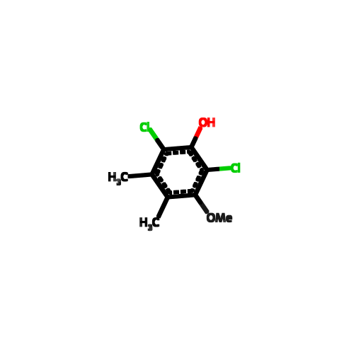 COc1c(C)c(C)c(Cl)c(O)c1Cl